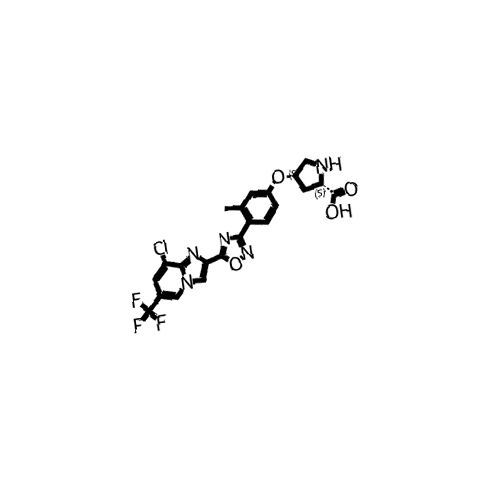 Cc1cc(O[C@@H]2CN[C@H](C(=O)O)C2)ccc1-c1noc(-c2cn3cc(C(F)(F)F)cc(Cl)c3n2)n1